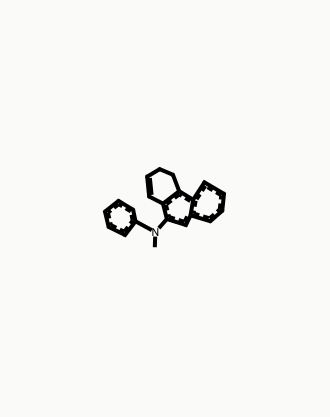 CN(c1ccccc1)c1cc2ccccc2c2c1C=CCC2